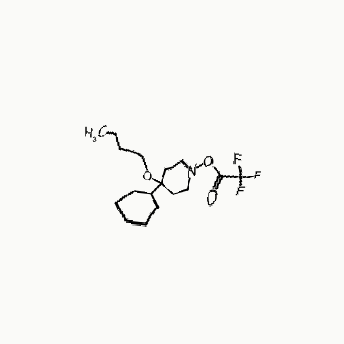 CCCCOC1(C2CCCCC2)CCN(OC(=O)C(F)(F)F)CC1